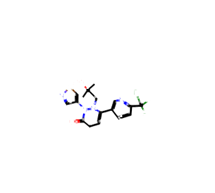 CC(C)(O)CN1C(c2ccc(C(F)(F)F)nc2)=CCC(=O)N1c1cnsc1